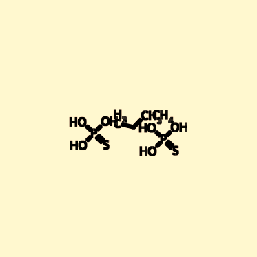 C.CCC.OP(O)(O)=S.OP(O)(O)=S